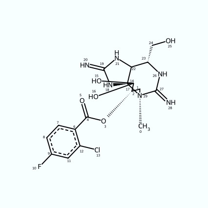 C[C@H]1[C@H](OC(=O)c2ccc(F)cc2Cl)C(O)(O)[C@@]23NC(=N)NC2[C@H](CO)NC(=N)N13